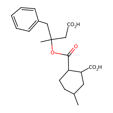 CC1CCC(C(=O)OC(C)(CC(=O)O)Cc2ccccc2)C(C(=O)O)C1